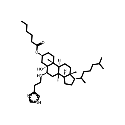 CCCCCC(=O)O[C@H]1CC[C@]2(C)[C@H]3CC[C@]4(C)[C@@H](C(C)CCCC(C)C)CC[C@H]4[C@@H]3C[C@@H](NCCc3c[nH]cn3)[C@@]2(O)C1